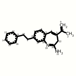 C=C(C)C1=Cc2ccc(CCc3ccccc3)cc2N=C(N)C1